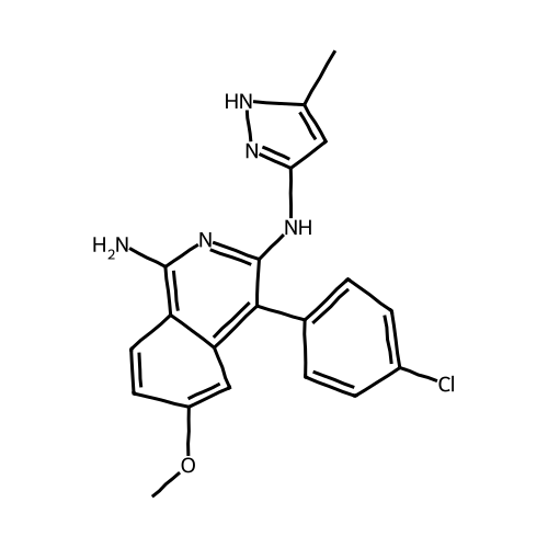 COc1ccc2c(N)nc(Nc3cc(C)[nH]n3)c(-c3ccc(Cl)cc3)c2c1